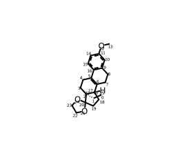 CC[C@]12CCC3=C(CCc4cc(OC)ccc43)[C@@H]1CCC21OCCO1